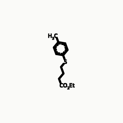 CCOC(=O)CCCSc1ccc(C)cc1